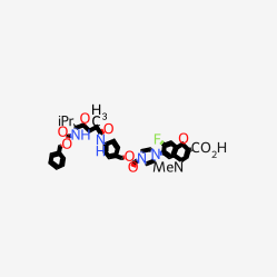 CNC1C=C(C(=O)O)C(=O)c2cc(F)c(N3CCN(C(=O)OCc4ccc(NC(=O)[C@@H](C)CC(=O)[C@H](NC(=O)OCc5ccccc5)C(C)C)cc4)CC3)cc21